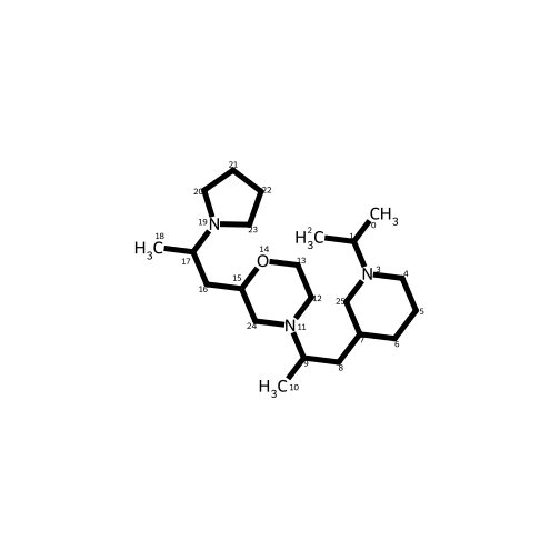 CC(C)N1CCCC(CC(C)N2CCOC(CC(C)N3CCCC3)C2)C1